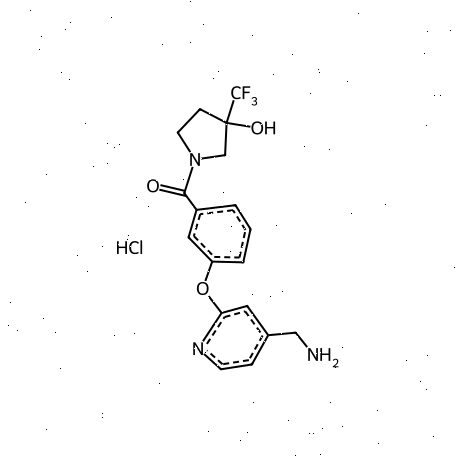 Cl.NCc1ccnc(Oc2cccc(C(=O)N3CCC(O)(C(F)(F)F)C3)c2)c1